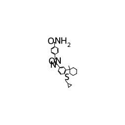 CC1(c2cc(-c3noc(-c4ccc(C(N)=O)cc4)n3)ccc2SCC2CC2)CCCCC1